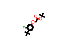 CC(C)(C)OC(=O)COc1ccc(C(C)(C)C)c(F)c1